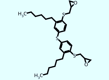 CCCCCCc1cc(Sc2ccc(SCC3CO3)c(CCCCCC)c2)ccc1SCC1CO1